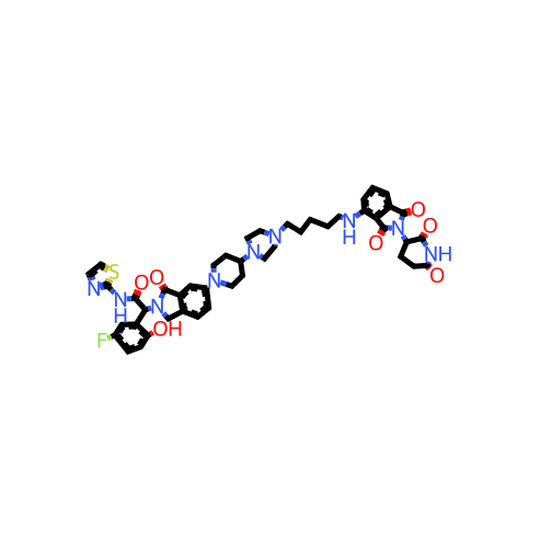 O=C1CCC(N2C(=O)c3cccc(NCCCCCN4CCN(C5CCN(c6ccc7c(c6)C(=O)N(C(C(=O)Nc6nccs6)c6cc(F)ccc6O)C7)CC5)CC4)c3C2=O)C(=O)N1